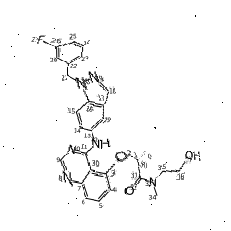 C[C@@H](Oc1cccc2ncnc(Nc3ccc4c(cnn4Cc4cccc(F)c4)c3)c12)C(=O)N(C)CCO